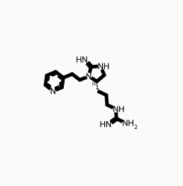 N=C(N)NCCC[C@H]1CNC(=N)N1CCc1cccnc1